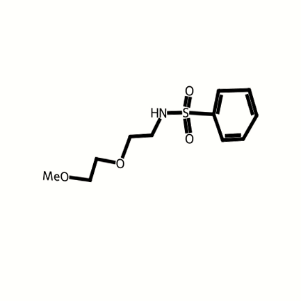 COCCOCCNS(=O)(=O)c1ccccc1